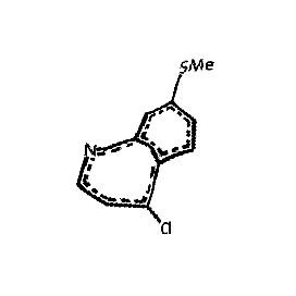 CSc1ccc2c(Cl)ccnc2c1